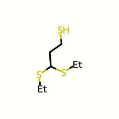 CCSC(CCS)SCC